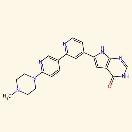 CN1CCN(c2ccc(-c3cc(-c4cc5c(=O)[nH]cnc5[nH]4)ccn3)cn2)CC1